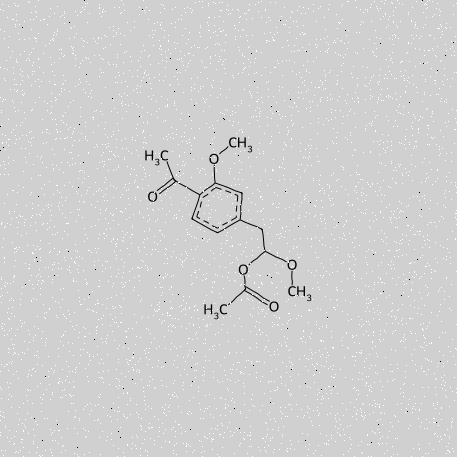 COc1cc(CC(OC)OC(C)=O)ccc1C(C)=O